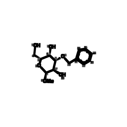 CO[C@H]1O[C@H](CO)[C@H](O)[C@H](OCc2ccccc2)[C@H]1O